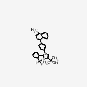 Cc1ccc(-c2ccc(-n3cc(C(C)(C)O)nc3-c3ccccc3C(F)(F)F)cc2)c2ccccc12